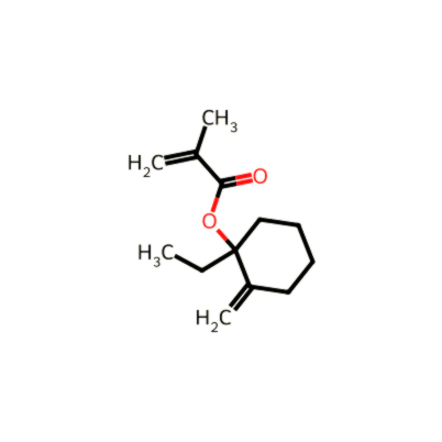 C=C(C)C(=O)OC1(CC)CCCCC1=C